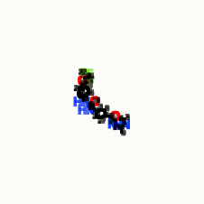 Cc1ncc2oc(-c3ccc(NC(=O)Nc4ccc(OC(F)(F)F)cc4)cc3)nn12